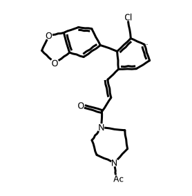 CC(=O)N1CCN(C(=O)/C=C/c2cc[c]c(Cl)c2-c2ccc3c(c2)OCO3)CC1